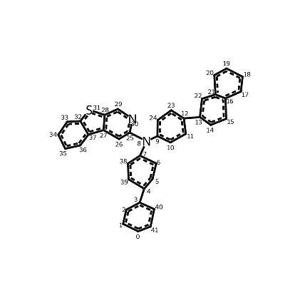 c1ccc(-c2ccc(N(c3ccc(-c4ccc5ccccc5c4)cc3)c3cc4c(cn3)sc3ccccc34)cc2)cc1